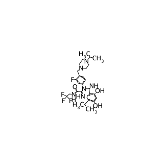 CC(C)c1cc(C(=N)N(C(=N)C(=O)NCC(F)(F)F)c2ccc(CN3CCN(C(C)C)CC3)c(F)c2)c(O)cc1O